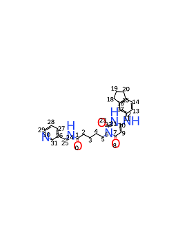 O=C(CCCCn1c(=O)cc(Nc2ccc3c(c2)CCC3)[nH]c1=O)NCc1cccnc1